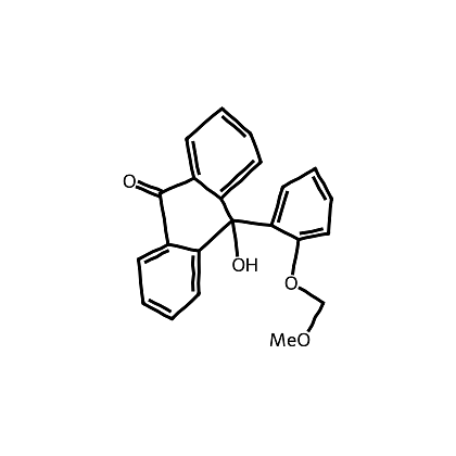 COCOc1ccccc1C1(O)c2ccccc2C(=O)c2ccccc21